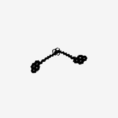 O=C(CCCCCCCCCCCc1ccc2ccc3cccc4ccc1c2c34)OC(=O)CCCCCCCCCCCc1ccc2ccc3cccc4ccc1c2c34